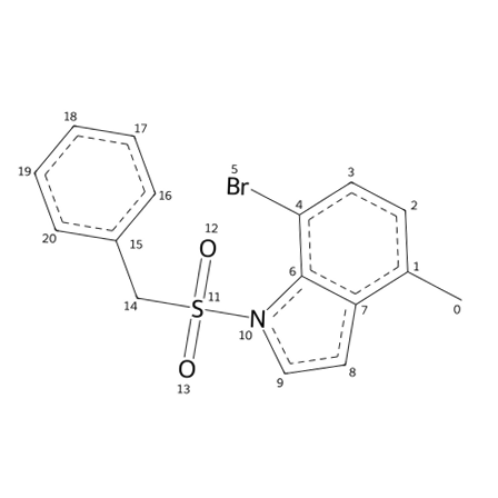 Cc1ccc(Br)c2c1ccn2S(=O)(=O)Cc1ccccc1